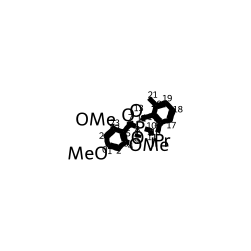 COc1cc(OC)c(C(=O)P(=O)(CC(C)C)C(=O)c2c(C)cccc2C)c(OC)c1